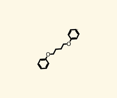 [c]1ccc(OCCCCOc2ccccc2)cc1